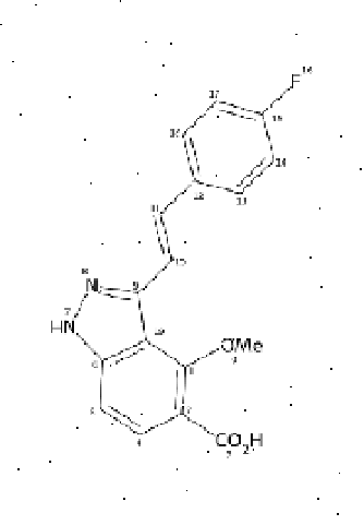 COc1c(C(=O)O)ccc2[nH]nc(/C=C/c3ccc(F)cc3)c12